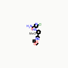 COc1c(Nc2cc(Cl)ncc2C(N)=O)cccc1-c1cnn(C2CCC23OCCO3)c1